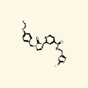 O=C(NCc1cnc(Cl)s1)c1ccnc(N2CCN(Cc3ccc(OCF)cc3)C2=O)c1